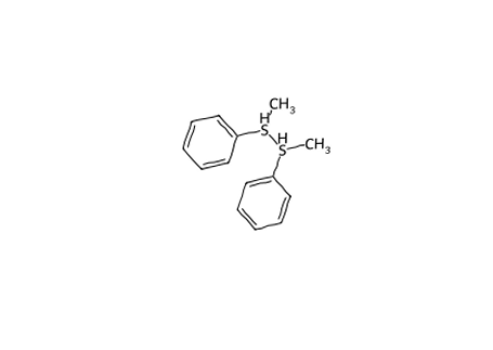 C[SH](c1ccccc1)[SH](C)c1ccccc1